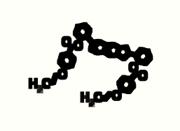 C=CCOc1ccc(C(=O)Oc2ccccc2C2CC3C(C2)C2CC3C3C4CC(c5ccccc5OC(=O)c5ccc(OCC=C)cc5)C(C4)C23)cc1